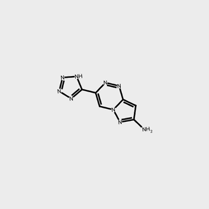 Nc1cc2nnc(-c3nnn[nH]3)cn2n1